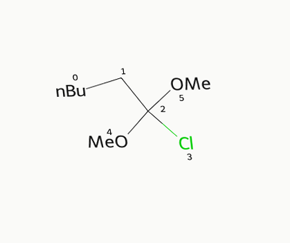 CCCCCC(Cl)(OC)OC